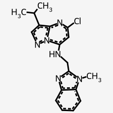 CC(C)c1cnn2c(NCc3nc4ccccc4n3C)cc(Cl)nc12